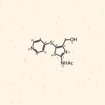 CC(=O)Nc1nc(CO)c(Sc2ccncc2)s1